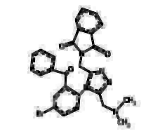 CN(C)Cc1nnc(CN2C(=O)c3ccccc3C2=O)n1-c1ccc(Br)cc1C(=O)c1ccccc1